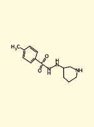 Cc1ccc(S(=O)(=O)NNC2CCCNC2)cc1